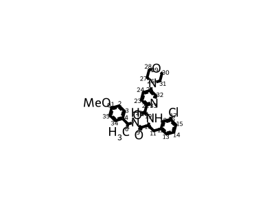 COc1ccc(C(C)NC(=O)C(Cc2cccc(Cl)c2)NC(=O)c2ccc(N3CCOCC3)cn2)cc1